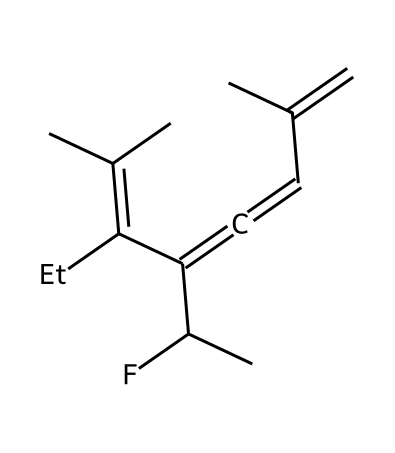 C=C(C)C=C=C(C(CC)=C(C)C)C(C)F